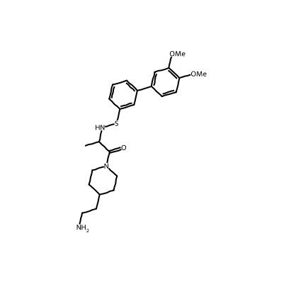 COc1ccc(-c2cccc(SNC(C)C(=O)N3CCC(CCN)CC3)c2)cc1OC